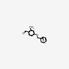 Cc1cc(OCC2CC3C=CC2CC3)ccc1C=O